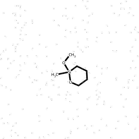 CO[Si]1(C)CCCCO1